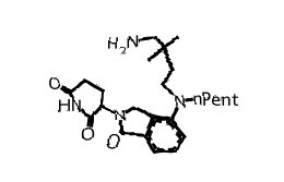 CCCCCN(CCC(C)(C)CN)c1cccc2c1CN(C1CCC(=O)NC1=O)C2=O